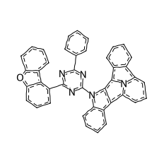 c1ccc(-c2nc(-c3cccc4oc5ccccc5c34)nc(-n3c4ccccc4c4c3c3c5ccccc5c5cccc4n53)n2)cc1